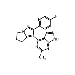 Cc1nc(-c2c(-c3ccc(F)cn3)nn3c2CCC3)c2cn[nH]c2n1